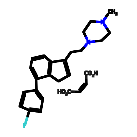 CN1CCN(CCC2=CCc3c2cccc3-c2ccc(F)cc2)CC1.O=C(O)/C=C\C(=O)O